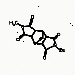 CN1C(=O)C2C3C=CC(C2C1=O)C1C(=O)N(C(C)(C)C)C(=O)C31